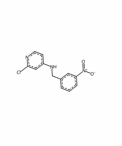 O=[N+]([O-])c1cccc(CNc2ccnc(Cl)c2)c1